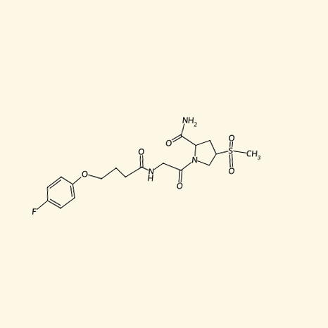 CS(=O)(=O)C1CC(C(N)=O)N(C(=O)CNC(=O)CCCOc2ccc(F)cc2)C1